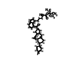 CC(C)(C)OC(=O)NCCCn1ccc2cccc(C(=O)N3CC(CN4CCC(c5ccc(F)cc5)CC4)C(C4CC4)C3)c21